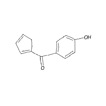 O=C(C1=CC=CC1)c1ccc(O)cc1